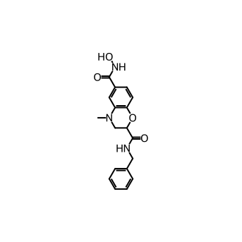 CN1CC(C(=O)NCc2ccccc2)Oc2ccc(C(=O)NO)cc21